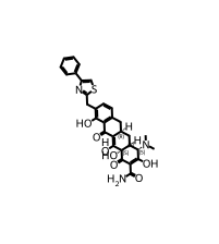 CN(C)[C@@H]1C(O)=C(C(N)=O)C(=O)[C@@]2(O)C(O)=C3C(=O)c4c(ccc(Cc5nc(-c6ccccc6)cs5)c4O)C[C@H]3C[C@@H]12